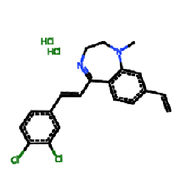 C=Cc1ccc2c(c1)N(C)CCN=C2/C=C/c1ccc(Cl)c(Cl)c1.Cl.Cl